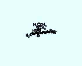 C=CCC(NC(=O)OC(C)(C)C)C(=O)NCCCCCN=[N+]=[N-]